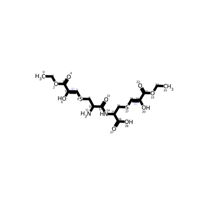 CCOC(=O)/C(O)=C/SCC(N)C(=O)NC(CS/C=C(\O)C(=O)OCC)C(=O)O